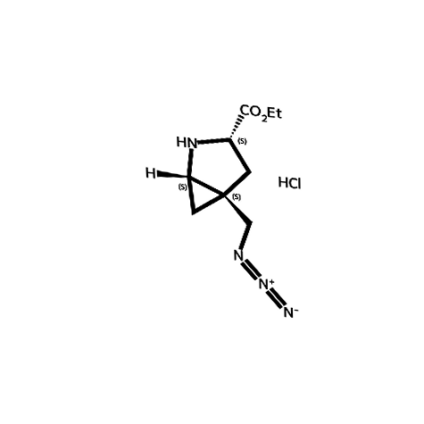 CCOC(=O)[C@@H]1C[C@]2(CN=[N+]=[N-])C[C@@H]2N1.Cl